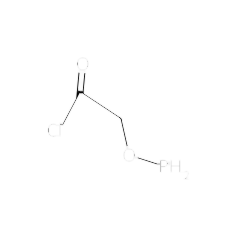 O=C(Cl)COP